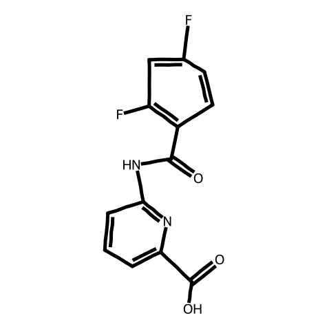 O=C(O)c1cccc(NC(=O)c2ccc(F)cc2F)n1